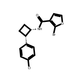 O=C(N[C@H]1CC[C@H]1c1ccc(Cl)cc1)c1ccoc1Br